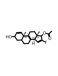 CC(=O)OC1C(F)=C[C@H]2C3=C(CC[C@]12C)[C@@]1(C)C=CC(O)CC1CC3